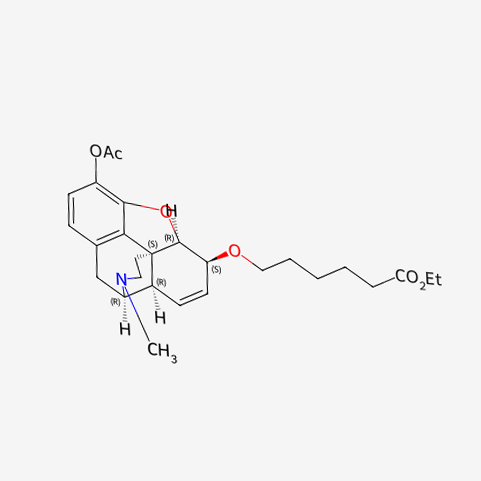 CCOC(=O)CCCCCO[C@H]1C=C[C@H]2[C@H]3Cc4ccc(OC(C)=O)c5c4[C@@]2(CCN3C)[C@H]1O5